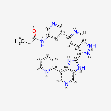 CCC(=O)Nc1cncc(-c2cc3c(-c4nc5c(-c6ccccn6)cncc5[nH]4)n[nH]c3cn2)c1